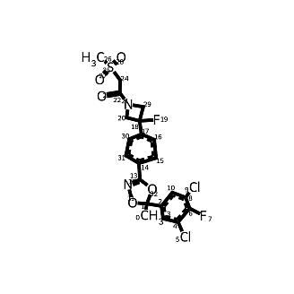 CC1(c2cc(Cl)c(F)c(Cl)c2)ON=C(c2ccc(C3(F)CN(C(=O)CS(C)(=O)=O)C3)cc2)O1